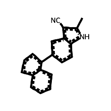 Cc1[nH]c2ccc(-c3cccc4ccccc34)cc2c1C#N